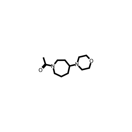 CC(=O)N1CCCC(N2CCOCC2)CC1